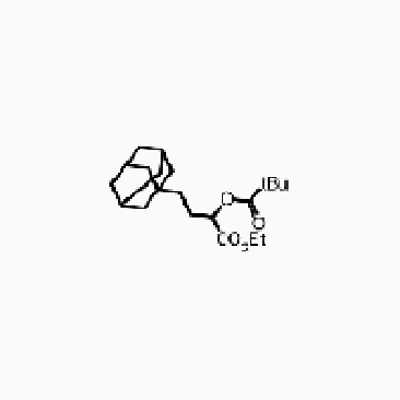 CCOC(=O)C(CCC12CC3CC(CC(C3)C1)C2)OC(=O)C(C)(C)C